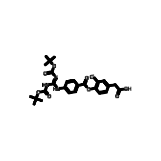 CC(C)(C)OC(=O)N=C(NC(=O)OC(C)(C)C)Nc1ccc(C(=O)Oc2ccc(CC(=O)O)cc2Cl)cc1